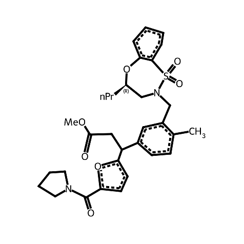 CCC[C@@H]1CN(Cc2cc(C(CC(=O)OC)c3ccc(C(=O)N4CCCC4)o3)ccc2C)S(=O)(=O)c2ccccc2O1